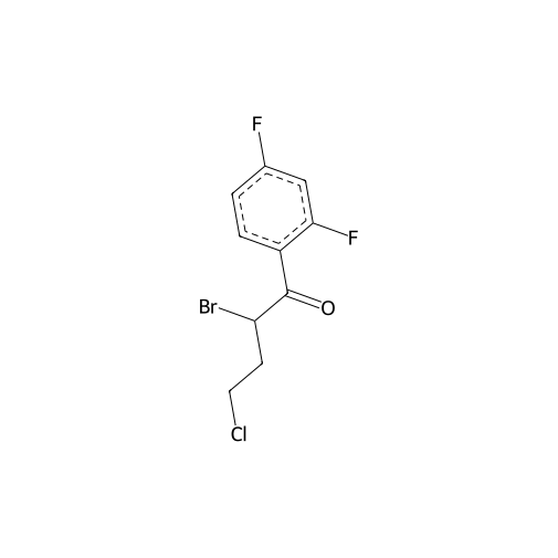 O=C(c1ccc(F)cc1F)C(Br)CCCl